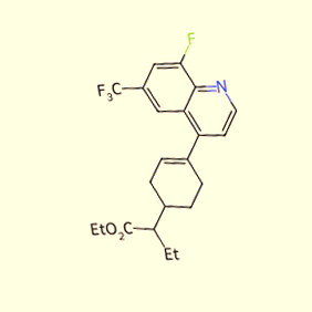 CCOC(=O)C(CC)C1CC=C(c2ccnc3c(F)cc(C(F)(F)F)cc23)CC1